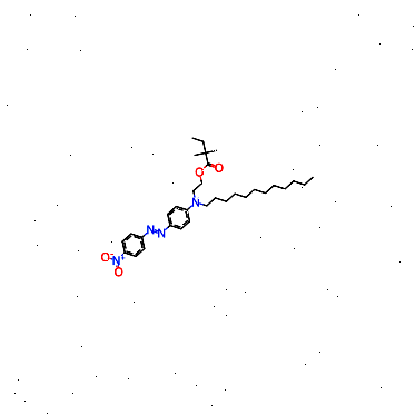 CCCCCCCCCCCCN(CCOC(=O)C(C)(C)CC)c1ccc(/N=N/c2ccc([N+](=O)[O-])cc2)cc1